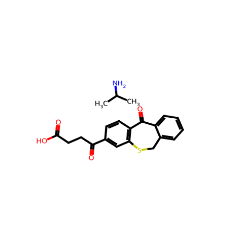 CC(C)N.O=C(O)CCC(=O)c1ccc2c(c1)SCc1ccccc1C2=O